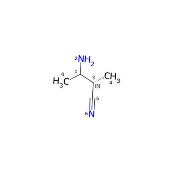 CC(N)[C@H](C)C#N